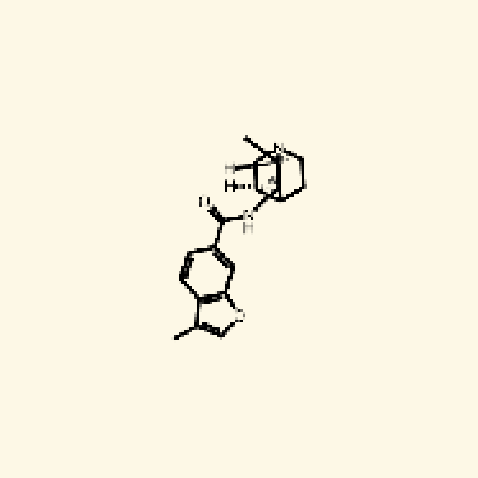 Cc1coc2cc(C(=O)N[C@@H]3C4CCN(CC4)[C@H]3C)ccc12